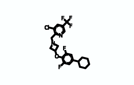 Fc1cc(C2CCCCC2)cc(F)c1OC1CN(Cc2ncc(C(F)(F)F)cc2Cl)C1